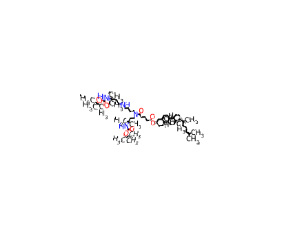 CC(C)CCC[C@@H](C)[C@H]1CC[C@H]2[C@@H]3CC=C4C[C@@H](OC(=O)CCCC(=O)N(CCCCNCCC(C)(C)NC(=O)OC(C)(C)C)CCC(C)(C)NC(=O)OC(C)(C)C)CC[C@]4(C)[C@H]3CC[C@]12C